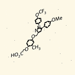 COc1ccc(-c2cc(COc3ccc(OCC(=O)O)c(C)c3)nn2-c2ccc(OC(F)(F)F)cc2)cc1